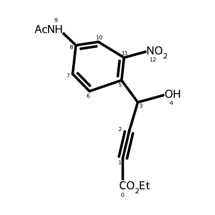 CCOC(=O)C#CC(O)c1ccc(NC(C)=O)cc1[N+](=O)[O-]